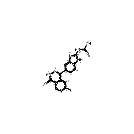 Cc1ccc2c(=O)[nH]nc(-c3ccc4[nH]c(NC(=O)O)nc4c3)c2c1